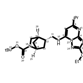 CCOc1nc2nc(C(C)C)cc(NC[C@@H]3C[C@@H]4C[C@H]3CN4C(=O)OC(C)(C)C)n2n1